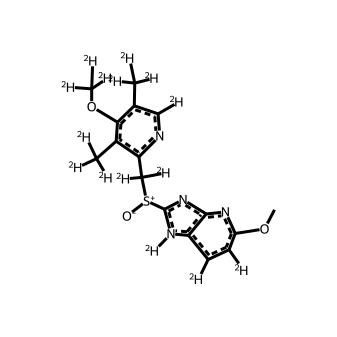 [2H]c1nc(C([2H])([2H])[S+]([O-])c2nc3nc(OC)c([2H])c([2H])c3n2[2H])c(C([2H])([2H])[2H])c(OC([2H])([2H])[2H])c1C([2H])([2H])[2H]